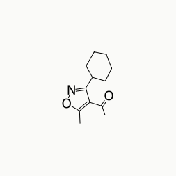 CC(=O)c1c(C2CCCCC2)noc1C